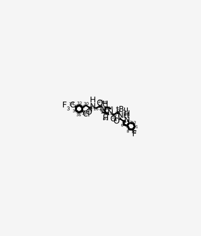 CC(C)(C)[C@H](NC(=O)c1cc2cc(F)ccc2[nH]1)C(=O)N1C[C@@H]2C[C@H]1CN2C(=O)CNC(=O)Cc1cc(C(F)(F)F)ccc1Cl